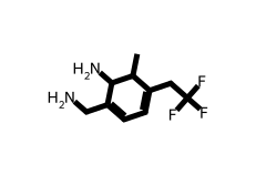 CC1C(CC(F)(F)F)=CC=C(CN)C1N